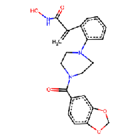 C=C(C(=O)NO)c1ccccc1N1CCN(C(=O)c2ccc3c(c2)OCO3)CC1